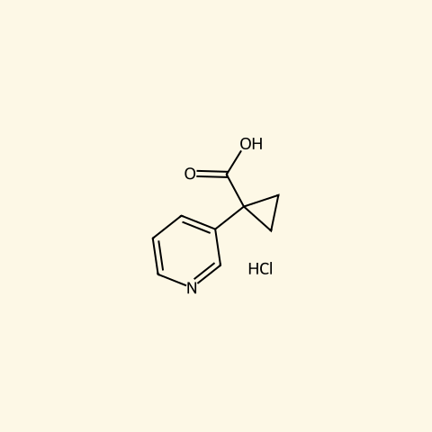 Cl.O=C(O)C1(c2cccnc2)CC1